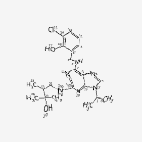 CC(C)n1cnc2c(NCc3cccc(Cl)c3O)nc(NCC(C)C(C)(C)O)nc21